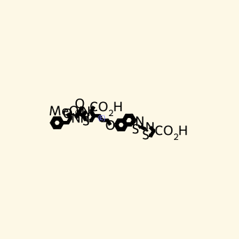 CO[C@@]1(NC(=O)Cc2ccccc2)C(=O)N2C(C(=O)O)=C(/C=C/COc3ccc4c(ccc5nc(C6=NC(C(=O)O)CS6)sc54)c3)CSC21